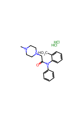 CN1CCN(CC(=O)N(c2ccccc2)c2ccccc2C(=O)O)CC1.Cl.Cl